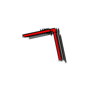 N.N.N.N.N.N.N.N.N.N.N.N.N.N.N.N.N.N.N.N.N.N.N.N.N.N.N.N.N.N.N.N.N.N.N.N.N.N.N.N.N.N.N.N.N.N.N.N.N.N.N.N.N.N.N.N.N.N.N.N.N.N.N.N.N.N.N.N.N.N.N.N.N.N.O=C(O)O.O=C(O)O.O=C(O)O.O=C(O)O.O=C(O)O.O=C(O)O.O=C(O)O